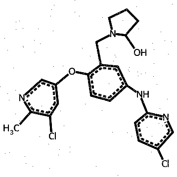 Cc1ncc(Oc2ccc(Nc3ccc(Cl)cn3)cc2CN2CCCC2O)cc1Cl